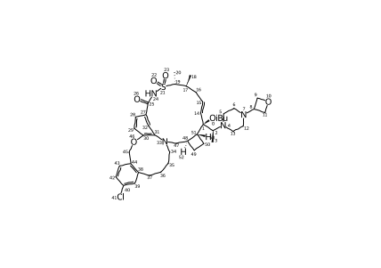 CC(C)CO[C@]1([C@H](C)N2CCN(C3COC3)CC2)/C=C/C[C@H](C)[C@@H](C)S(=O)(=O)NC(=O)c2ccc3c(c2)N(CCCCc2cc(Cl)ccc2CO3)C[C@@H]2CC[C@H]21